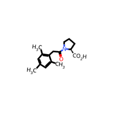 Cc1cc(C)c(CC(=O)N2CCC[C@H]2C(=O)O)c(C)c1